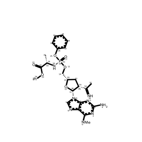 CNc1nc(N)nc2c1ncn2[C@@H]1O[C@H](CO[P@@](=O)(N[C@@H](C)C(=O)OC(C)C)Oc2ccccc2)C[C@@H]1C(C)=N